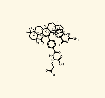 C[C@@H]1[C@H]2[C@H]3CC[C@@H]4[C@]5(C)[C@@H](CC[C@@]4(C)[C@]3(C)CC[C@@]2(C)CC[C@H]1C)C(C)(C)CCC5(O)C(=O)ON(Cc1cnc2[nH]c(N)nc(=O)c2n1)c1ccc(C(=O)N[C@@H](CCC(=O)O)C(=O)O)cc1